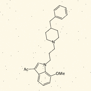 COc1cccc2c(C(C)=O)cn(CCCN3CCC(Cc4ccccc4)CC3)c12